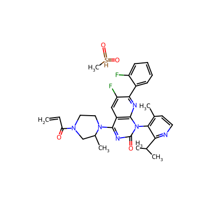 C=CC(=O)N1CCN(c2nc(=O)n(-c3c(C)ccnc3C(C)C)c3nc(-c4ccccc4F)c(F)cc23)C(C)C1.C[SH](=O)=O